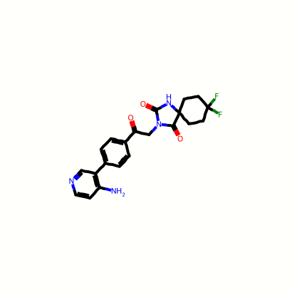 Nc1ccncc1-c1ccc(C(=O)CN2C(=O)NC3(CCC(F)(F)CC3)C2=O)cc1